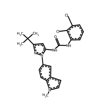 Cn1ccc2cc(-n3nc(C(C)(C)C)cc3NC(=O)Nc3cccc(Cl)c3Cl)ccc21